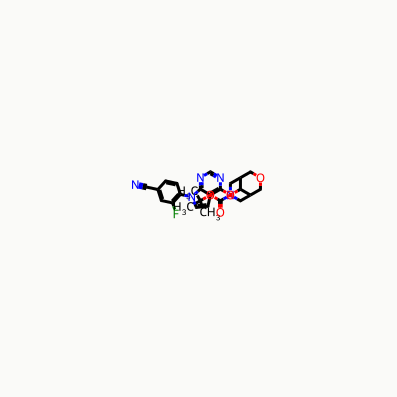 CC(C)(C)OC(=O)N1CC2COCC(C1)C2Oc1ncnc2c1ccn2-c1ccc(C#N)cc1F